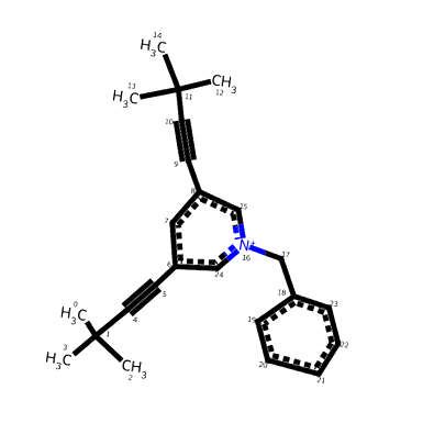 CC(C)(C)C#Cc1cc(C#CC(C)(C)C)c[n+](Cc2ccccc2)c1